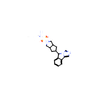 O=C(O)NS(=O)(=O)N1CC2CC(C3c4ccccc4-c4cncn43)CC2C1